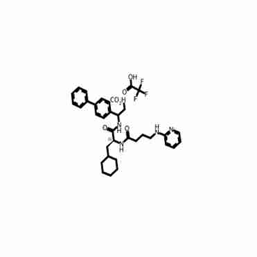 O=C(O)C(F)(F)F.O=C(O)CC(NC(=O)[C@H](CC1CCCCC1)NC(=O)CCCNc1ccccn1)c1ccc(-c2ccccc2)cc1